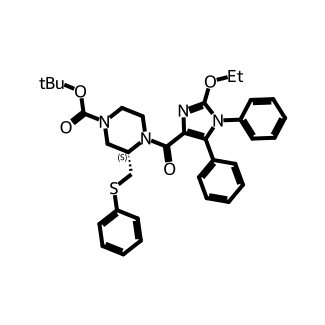 CCOc1nc(C(=O)N2CCN(C(=O)OC(C)(C)C)C[C@H]2CSc2ccccc2)c(-c2ccccc2)n1-c1ccccc1